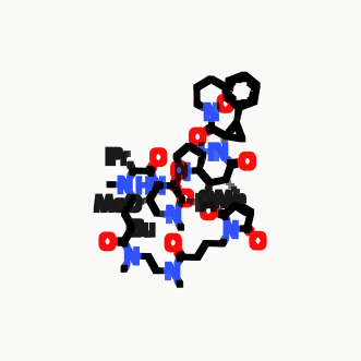 CC[C@H](C)[C@@H]([C@@H](CC(=O)N1CCC[C@H]1[C@H](OC)[C@@H](C)C(=O)N[C@@]1(C(=O)N2CCCCO2)C[C@@H]1c1ccccc1)OC)N(C)[C@H](C(=O)NC(=O)[C@H](C(C)C)N(C)CCCC(=O)N(C)CCN(C)C(=O)CCCN1C(=O)C=CC1=O)C(C)C